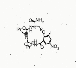 CC(C)C[C@@H]1NC(=O)[C@H](C(C)C)NC(=O)c2cc([N+](=O)[O-])cc(I)c2OCC[C@@H](C(N)=O)NC1=O